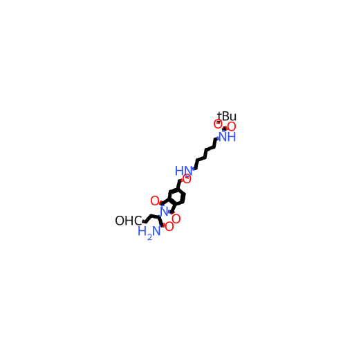 CC(C)(C)OC(=O)NCCCCCCNOCc1ccc2c(c1)C(=O)N(C(CCC=O)C(N)=O)C2=O